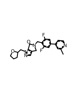 Cc1cc(-c2cc(F)c(CN3Cc4cnn(CC5CCCO5)c4C3=O)c(F)c2)ccn1